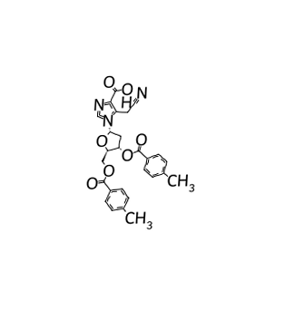 Cc1ccc(C(=O)OC[C@H]2O[C@H](n3cnc(C(=O)O)c3CC#N)C[C@@H]2OC(=O)c2ccc(C)cc2)cc1